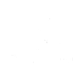 Cl.O=C(O)CN1C(=O)C=CC1=O